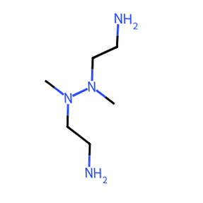 CN(CCN)N(C)CCN